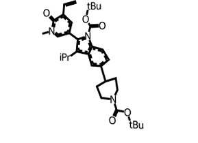 C=Cc1cc(-c2c(C(C)C)c3cc(C4CCN(C(=O)OC(C)(C)C)CC4)ccc3n2C(=O)OC(C)(C)C)cn(C)c1=O